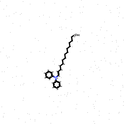 CCCCCCCCCCCCCCCCCCCCCCC=CN(c1ccccc1)c1ccccc1